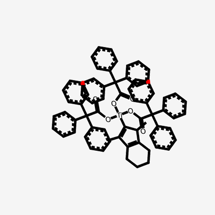 CC1=[C]([Ti]([O]C(=O)C(c2ccccc2)(c2ccccc2)c2ccccc2)([O]C(=O)C(c2ccccc2)(c2ccccc2)c2ccccc2)[O]C(=O)C(c2ccccc2)(c2ccccc2)c2ccccc2)C(C)C2=C1CCCC2